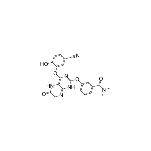 CN(C)C(=O)c1cccc(OC2=NC(Oc3cc(C#N)ccc3O)=C3NC(=O)CN=C3N2)c1